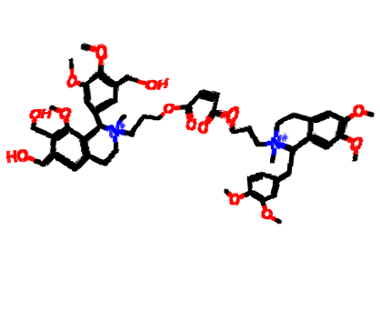 COc1ccc(CC2c3cc(OC)c(OC)cc3CC[N+]2(C)CCCOC(=O)/C=C\C(=O)OCCC[N+]2(C)CCc3cc(CO)c(CO)c(OC)c3C2c2cc(CO)c(OC)c(OC)c2)cc1OC